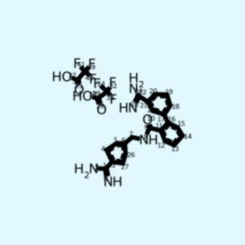 N=C(N)c1ccc(CNC(=O)c2ccccc2-c2cccc(C(=N)N)c2)cc1.O=C(O)C(F)(F)F.O=C(O)C(F)(F)F